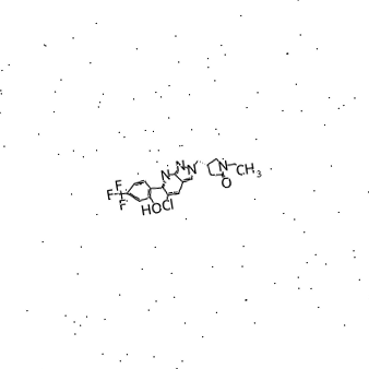 CCN1C[C@@H](Cn2cc3cc(Cl)c(-c4ccc(C(F)(F)F)cc4O)nc3n2)CC1=O